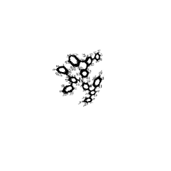 c1ccc(-c2cc(-c3ccccc3)cc(N(c3ccc(-c4cc(-c5ccccc5)ccc4-c4ccccc4)cc3)c3ccc(-c4cc(-c5ccccc5)ccc4-c4ccccc4)cc3)c2)cc1